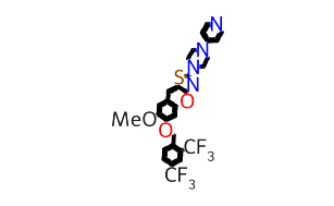 COc1cc(/C=C2/SC(N3CCN(c4ccncc4)CC3)=NC2=O)ccc1OCc1ccc(C(F)(F)F)cc1C(F)(F)F